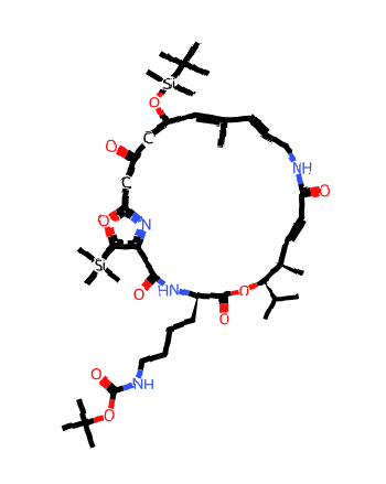 CC1=C\C(O[Si](C)(C)C(C)(C)C)CC(=O)Cc2nc(c([Si](C)(C)C)o2)C(=O)N[C@H](CCCCNC(=O)OC(C)(C)C)C(=O)O[C@H](C(C)C)[C@H](C)/C=C/C(=O)NC\C=C\1